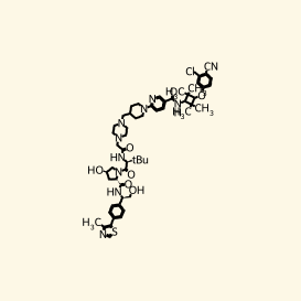 Cc1ncsc1-c1ccc([C@H](CO)NC(=O)[C@@H]2C[C@@H](O)CN2C(=O)[C@@H](NC(=O)CN2CCN(CC3CCN(c4ccc(C(=O)NC5C(C)(C)C(Oc6ccc(C#N)c(Cl)c6)C5(C)C)cn4)CC3)CC2)C(C)(C)C)cc1